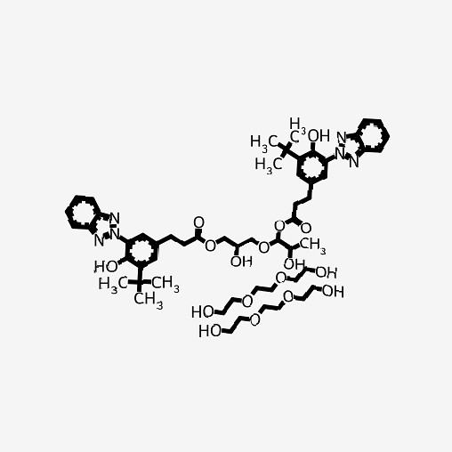 CC(O)C(OCC(O)COC(=O)CCc1cc(-n2nc3ccccc3n2)c(O)c(C(C)(C)C)c1)OC(=O)CCc1cc(-n2nc3ccccc3n2)c(O)c(C(C)(C)C)c1.OCCOCCOCCO.OCCOCCOCCO